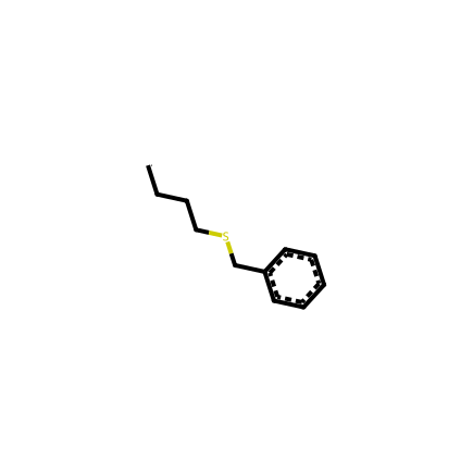 [CH2]CCCSCc1ccccc1